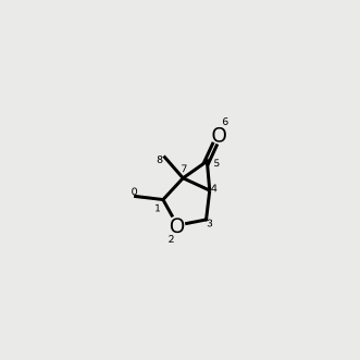 CC1OCC2C(=O)C12C